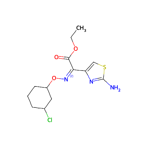 CCOC(=O)/C(=N\OC1CCCC(Cl)C1)c1csc(N)n1